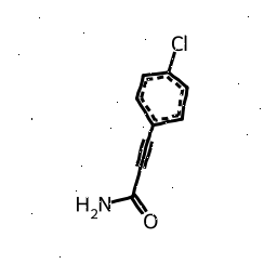 NC(=O)C#Cc1ccc(Cl)cc1